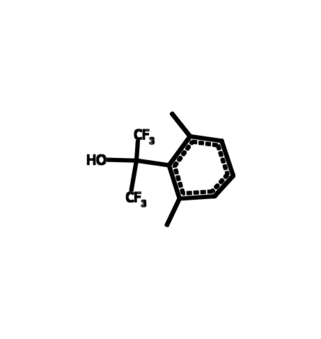 Cc1cccc(C)c1C(O)(C(F)(F)F)C(F)(F)F